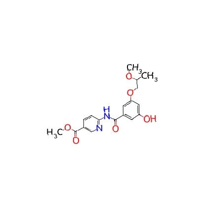 COC(=O)c1ccc(NC(=O)c2cc(O)cc(OCC(C)OC)c2)nc1